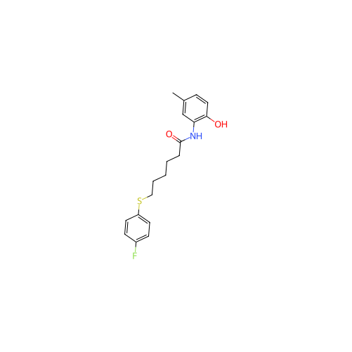 Cc1ccc(O)c(NC(=O)CCCCCSc2ccc(F)cc2)c1